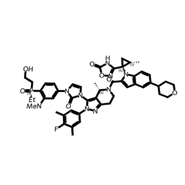 CC[P@](=O)(CCO)c1ccc(-n2ccn(-c3c4c(nn3-c3cc(C)c(F)c(C)c3)CCN(C(=O)c3cc5cc(C6CCOCC6)ccc5n3[C@@]3(c5noc(=O)[nH]5)C[C@@H]3C)[C@H]4C)c2=O)cc1NC